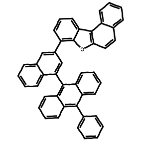 c1ccc(-c2c3ccccc3c(-c3cc(-c4cccc5c4oc4ccc6ccccc6c45)cc4ccccc34)c3ccccc23)cc1